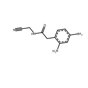 N#CCNC(=O)Cc1ccc(N)cc1N